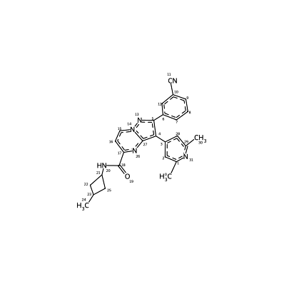 Cc1cc(-c2c(-c3cccc(C#N)c3)nn3ccc(C(=O)NC4CC(C)C4)nc23)cc(C)n1